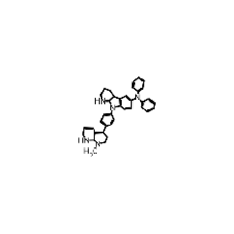 CN1CCC(c2ccc(N3c4ccc(N(c5ccccc5)c5ccccc5)cc4C4CCCNC43)cc2)C2C=CCNC21